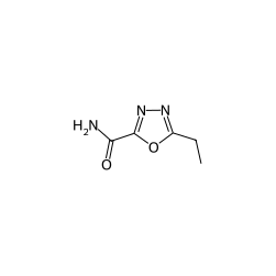 CCc1nnc(C(N)=O)o1